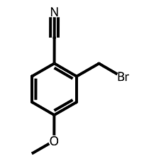 COc1ccc(C#N)c(CBr)c1